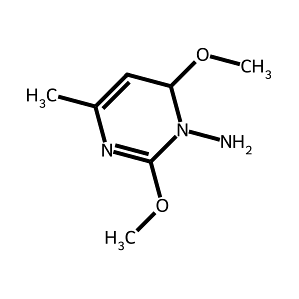 COC1=NC(C)=CC(OC)N1N